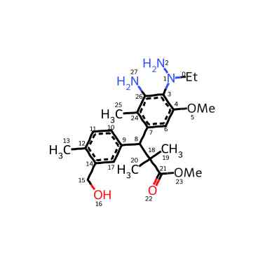 CCN(N)c1c(OC)cc(C(c2ccc(C)c(CO)c2)C(C)(C)C(=O)OC)c(C)c1N